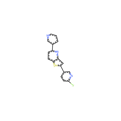 Fc1ccc(-c2cc3nc(-c4cccnc4)ccc3s2)cn1